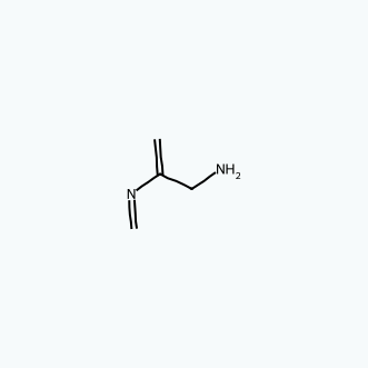 C=NC(=C)CN